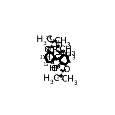 CC(C)[C@H]1Oc2cccc(-c3cccc4c3P(=O)(C(C)(C)C)[C@@H](C(C)C)O4)c2[PH]1=O